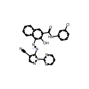 N#Cc1cnn(-c2ncccn2)c1/N=N/c1c(O)c(C(=O)Nc2cccc(Cl)c2)cc2ccccc12